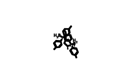 B[PH](c1ccc(C)cc1)(c1ccc(C)cc1)[C@@H](C)C[C@H](C)[PH](B)(c1ccc(C)cc1)c1ccc(C)cc1